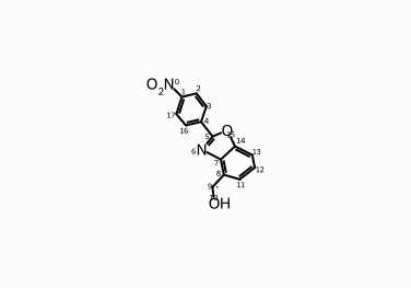 O=[N+]([O-])c1ccc(-c2nc3c([CH]O)cccc3o2)cc1